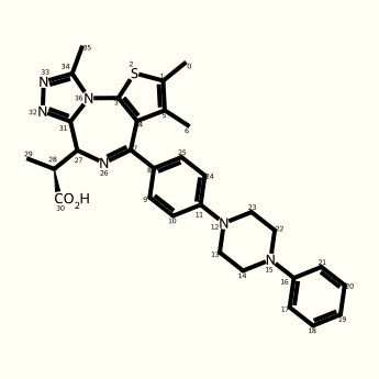 Cc1sc2c(c1C)C(c1ccc(N3CCN(c4ccccc4)CC3)cc1)=NC([C@H](C)C(=O)O)c1nnc(C)n1-2